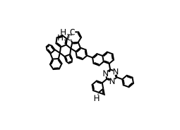 C/C=C\C1=C(C)C2(c3ccc(-c4ccc5c(-c6nc(C7=CC=C[C@@H]8C=C78)nc(-c7ccccc7)n6)cccc5c4)cc31)c1ccccc1C1(c3ccccc3-c3ccccc31)c1ccccc12